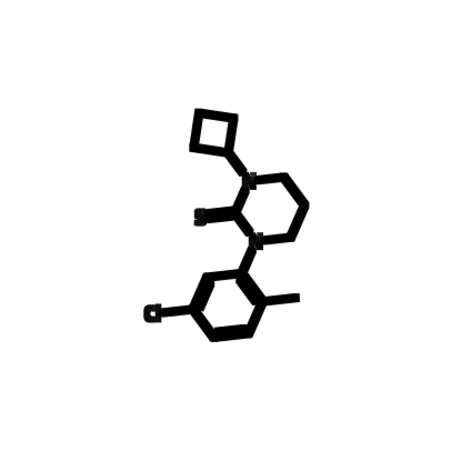 Cc1ccc(Cl)cc1N1CCCN(C2CCC2)C1=S